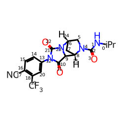 CC(C)NC(=O)N1C[C@@H]2C[C@H]1C1C(=O)N(c3ccc(C#N)c(C(F)(F)F)c3)C(=O)N12